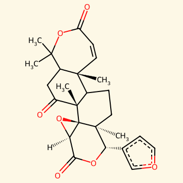 CC1(C)OC(=O)C=C[C@@]2(C)C1CC(=O)[C@]1(C)C2CC[C@@]2(C)[C@H](c3ccoc3)OC(=O)[C@H]3O[C@]321